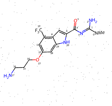 CNC(N)=NC(=O)c1cc2c(C(F)(F)F)cc(OCCCN)cc2[nH]1